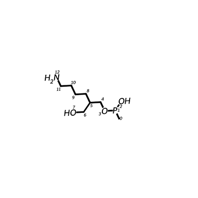 CP(O)OCC(CO)CCCCN